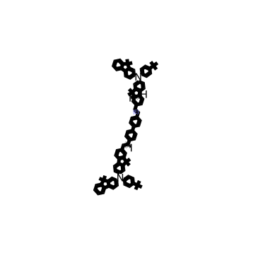 CC(C)(C)c1ccc(N(c2ccc3c(c2)C(C)(C)c2ccccc2-3)c2ccc3c(c2)C(C)(C)c2cc(C[C@H](I)c4ccc(-c5ccc(/C=C/C6=CC7(I)[C@@H](C=C6)c6ccc(N(c8ccc(C(C)(C)C)cc8)c8ccc9c(c8)C(C)(C)c8ccccc8-9)cc6C7(C)C)cc5)cc4)ccc2-3)cc1